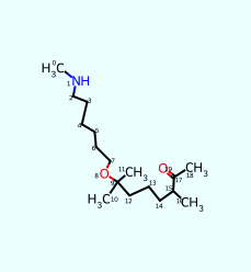 CNCCCCCCOC(C)(C)CCCC(C)C(C)=O